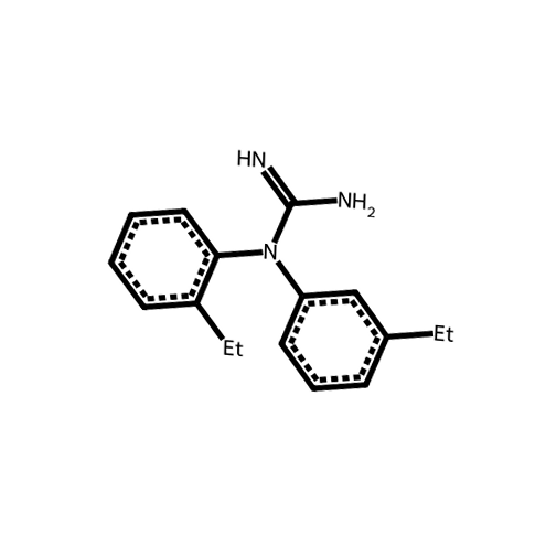 CCc1cccc(N(C(=N)N)c2ccccc2CC)c1